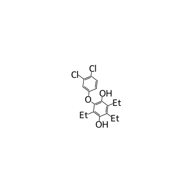 CCc1c(O)c(CC)c(Oc2ccc(Cl)c(Cl)c2)c(O)c1CC